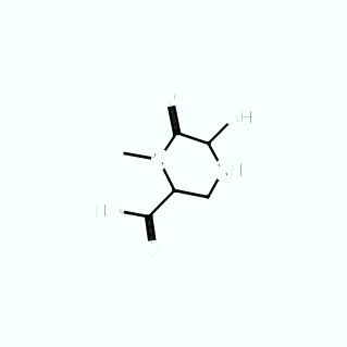 CN1C(=O)C(S)NCC1C(=O)O